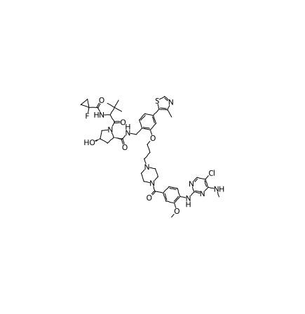 CNc1nc(Nc2ccc(C(=O)N3CCN(CCCOc4cc(-c5scnc5C)ccc4CNC(=O)[C@H]4C[C@@H](O)CN4C(=O)C(NC(=O)C4(F)CC4)C(C)(C)C)CC3)cc2OC)ncc1Cl